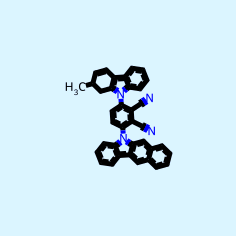 CC1C=Cc2c(n(-c3ccc(-n4c5ccccc5c5cc6ccccc6cc54)c(C#N)c3C#N)c3ccccc23)C1